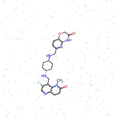 Cn1c(=O)ccc2ncc(F)c(CN[C@H]3CC[C@H](NCc4ccc5c(n4)NC(=O)CO5)CC3)c21